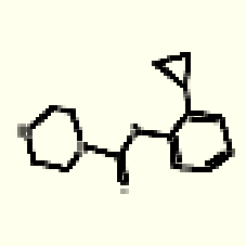 O=C(Oc1ccccc1C1CC1)N1CCNCC1